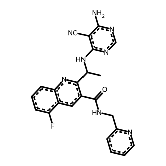 CC(Nc1ncnc(N)c1C#N)c1nc2cccc(F)c2cc1C(=O)NCc1ccccn1